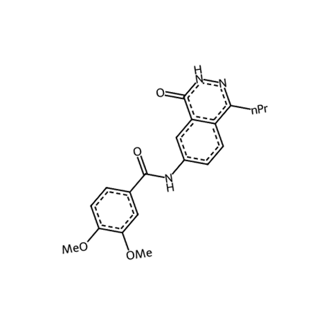 CCCc1n[nH]c(=O)c2cc(NC(=O)c3ccc(OC)c(OC)c3)ccc12